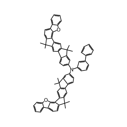 CC1(C)c2cc(N(c3cccc(-c4ccccc4)c3)c3ccc4c(c3)C(C)(C)c3cc5c(cc3-4)C(C)(C)c3ccc4c(oc6ccccc64)c3-5)ccc2-c2cc3c(cc21)-c1c(ccc2c1oc1ccccc12)C3(C)C